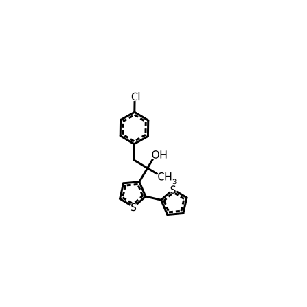 CC(O)(Cc1ccc(Cl)cc1)c1ccsc1-c1cccs1